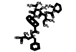 CC[C@H](C)[C@H](NC(=O)[C@H]1CCCCN1C)C(=O)N(C)[C@H](C(=O)NC12C3C4C1C1C2C3C41C(=O)N[C@@H](Cc1ccccc1)C[C@H](C)C(=O)O)C(C)C